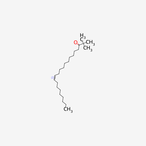 CCCCCCCC/C=C\CCCCCCCCCC(=O)C(C)(C)C